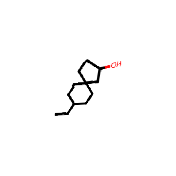 CCC1CCC2(CCC(O)C2)CC1